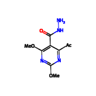 COc1nc(OC)c(C(=O)NN)c(C(C)=O)n1